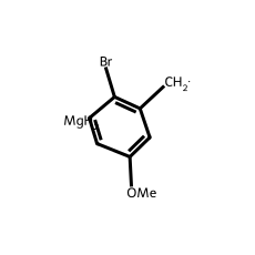 [CH2]c1cc(OC)ccc1Br.[MgH2]